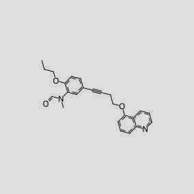 CCCOc1ccc(C#CCCOc2cccc3ncccc23)cc1N(C)C=O